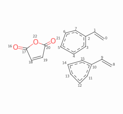 C=Cc1ccccc1.C=Cc1ccccc1.O=C1C=CC(=O)O1